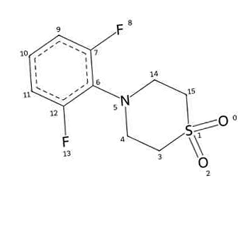 O=S1(=O)CCN(c2c(F)cccc2F)CC1